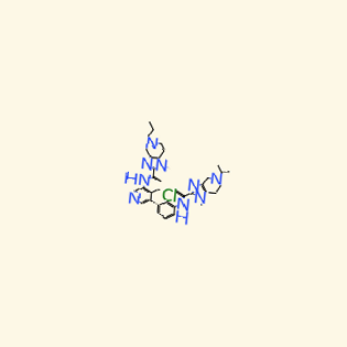 C=C(Nc1cncc(-c2cccc(NC(=C)c3nc4c(n3C)CCN(C(C)C)C4)c2Cl)c1C)c1nc2c(n1C)CCN(CCC)C2